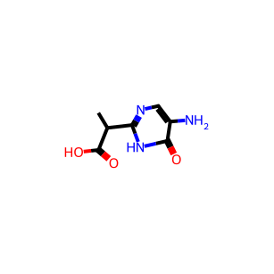 CC(C(=O)O)c1ncc(N)c(=O)[nH]1